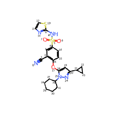 N#Cc1cc(S(=O)(=O)Nc2nccs2)ccc1Oc1cc(C2CC2)nn1C1CCCCC1